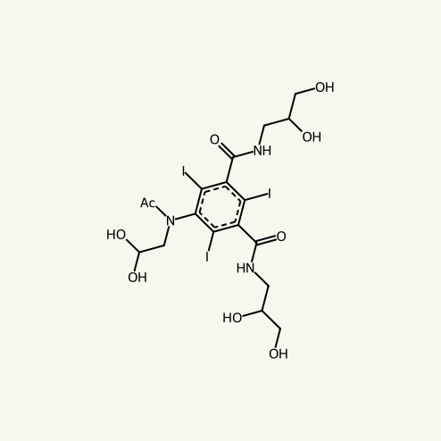 CC(=O)N(CC(O)O)c1c(I)c(C(=O)NCC(O)CO)c(I)c(C(=O)NCC(O)CO)c1I